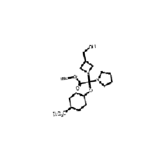 CCOC(=O)C1CCC(OC(C(=O)OC(C)(C)C)(N2CCCC2)N2CC(CO)C2)CC1